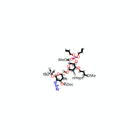 C=CCOP(=O)(OCC=C)O[C@H]1[C@H](OCC[C@@H](CCCCCCC)OC)[C@@H](C)[C@H](OC[C@H]2O[C@@H](O[Si](C)(C)C(C)(C)C)[C@H](N=[N+]=[N-])[C@@H](OCCCCCCCCCC)[C@@H]2C)O[C@@H]1COC